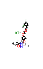 CC(O)CNC(C)(C)Oc1ccc(OCCOCCc2ccc(F)cc2F)cc1.Cl